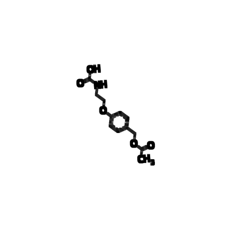 CC(=O)OCc1ccc(OCCNC(=O)O)cc1